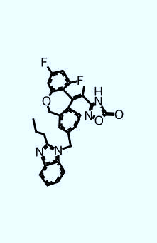 CCCc1nc2ccccc2n1Cc1ccc2c(c1)COc1cc(F)cc(F)c1C2=C(C)c1noc(=O)[nH]1